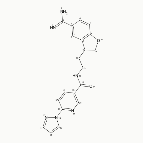 N=C(N)c1ccc2c(c1)C(CCNC(=O)c1ccc(-n3cccn3)nc1)CO2